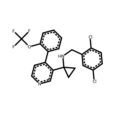 FC(F)(F)Oc1ccccc1-c1ccncc1C1(NCc2cc(Cl)ccc2Cl)CC1